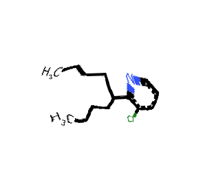 CCCCC(CCCC)c1ncccc1Cl